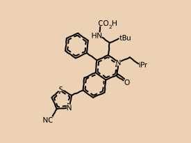 CC(C)Cn1c(C(NC(=O)O)C(C)(C)C)c(-c2ccccc2)c2cc(-c3nc(C#N)cs3)ccc2c1=O